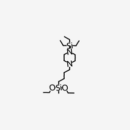 CCO[Si](C)(CCCCN1CCN([Si](CC)(CC)CC)CC1)OCC